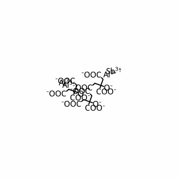 O=C([O-])CC([O-])(CC(=O)[O-])C(=O)[O-].O=C([O-])CC([O-])(CC(=O)[O-])C(=O)[O-].O=C([O-])CC([O-])(CC(=O)[O-])C(=O)[O-].[Al+3].[Al+3].[Al+3].[Sb+3]